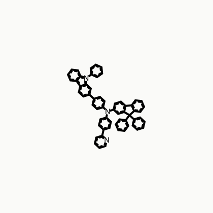 c1ccc(-n2c3ccccc3c3ccc(-c4ccc(N(c5ccc(-c6ccccn6)cc5)c5ccc6c(c5)C(c5ccccc5)(c5ccccc5)c5ccccc5-6)cc4)cc32)cc1